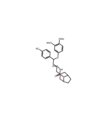 CCCCCCNC(=O)N1C2CCC1CN(CCCC(Oc1ccc(OC)c(OC)c1)c1ccc(C#N)cc1)C2